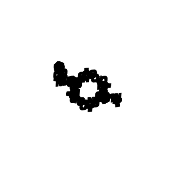 Cc1cnn(Cc2ccc(C[C@H]3OC(=O)[C@H](CC(C)C)N(C)C(=O)[C@@H](C)OC(=O)[C@H](CC(C)C)N(C)C(=O)[C@@H](Cc4ccc(Cn5nc(C)c(S(=O)(=O)N6CCCCC6)c5C)cc4)OC(=O)[C@H](CC(C)C)N(C)C(=O)[C@@H](C)OC(=O)[C@H](CC(C)C)N(C)C3=O)cc2)c1